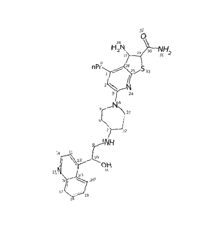 CCCc1cc(N2CCC(NCC(O)c3ccnc4ccccc34)CC2)nc2c1C(N)C(C(N)=O)S2